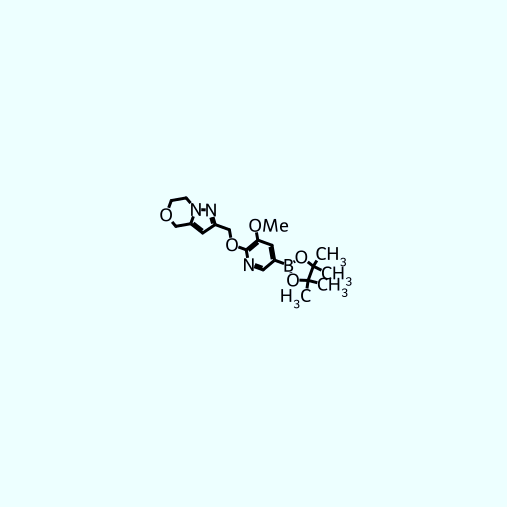 COc1cc(B2OC(C)(C)C(C)(C)O2)cnc1OCc1cc2n(n1)CCOC2